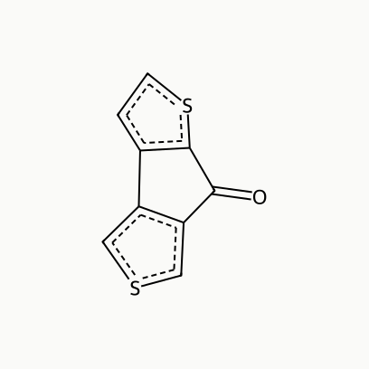 O=C1c2cscc2-c2ccsc21